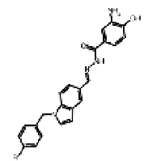 CC(C)c1ccc(Cn2ccc3cc(/C=N/NC(=O)c4ccc(O)c(N)c4)ccc32)cc1